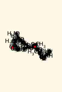 Cc1c(-c2ccc(N3CCc4cccc(C(=O)Nc5nc6ccccc6s5)c4C3)nc2C(=O)O)cnn1CC12CC3(C)CC(C)(C1)CC(OCCN(CCS(=O)(=O)O)C(=O)OCc1ccc(NC(=O)[C@H](CCCNC(N)=O)NC(=O)[C@@H](NC(=O)[C@H](CCC(=O)O)NC(=O)CN4C(=O)C=CC4=O)C(C)C)cc1)(C3)C2